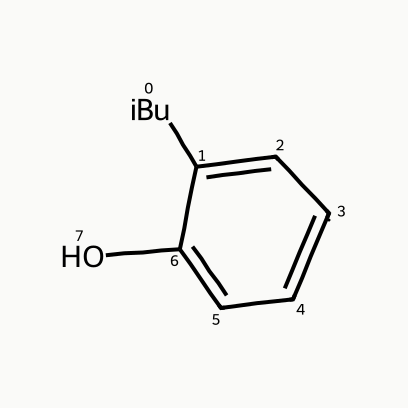 CCC(C)c1c[c]ccc1O